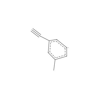 C#Cc1c[c]cc(C)c1